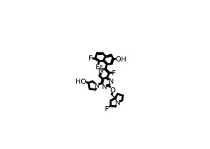 CCc1c(F)ccc2cc(O)cc(-c3ncc4c(N5CCC(O)C5)nc(OC[C@@]56CCCN5C[C@H](F)C6)nc4c3F)c12